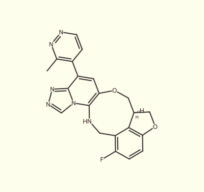 Cc1nnccc1-c1cc2c(n3cnnc13)NCc1c(F)ccc3c1[C@H](CO3)CO2